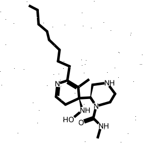 CCCCCCCCC1=C(C)[C@](NO)([C@H]2CNCCN2C(=O)NC)CC=N1